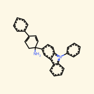 NC1(c2ccc3c(c2)c2ccccc2n3-c2ccccc2)C=CC(c2ccccc2)=CC1